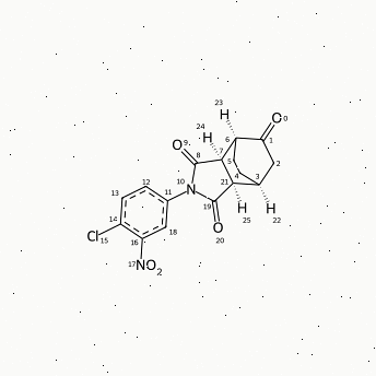 O=C1C[C@@H]2CC[C@H]1[C@@H]1C(=O)N(c3ccc(Cl)c([N+](=O)[O-])c3)C(=O)[C@H]21